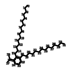 CCCCCCCCCCCCCCCCc1c(CCCCCCCCCCCCCC)cccc1[C](C)C